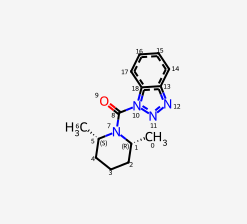 C[C@@H]1CCC[C@H](C)N1C(=O)n1nnc2ccccc21